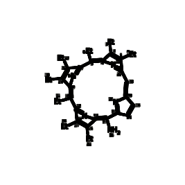 CCC1=C(CC)C2=C(CC)C3=NC(=C(CC)C4=NC(=C(N)C5=NC(=CC1=N2)C=C5)C(CC)=C4CC)C(CC)=C3CC